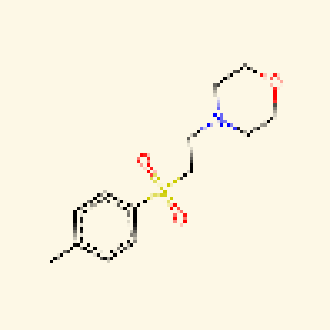 Cc1ccc(S(=O)(=O)CCN2CCOCC2)cc1